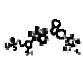 CC(C)(C)OC(=O)N1CCC2(CC1)C[C@H](Nc1ncnc3c1NNN3C1CC(O)C(COS(N)(=O)=O)C1)c1ccccc12